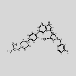 Cc1nn(Cc2cccc(F)c2)cc1-c1c[nH]c2ncc(-c3ccc(N4CCN(CC(C)O)CC4)cc3)cc12